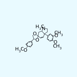 COc1ccc(C2COC3(C=CC4(c5ccc(OC)c(OC)c5)CCN(C)C4C3)O2)cc1